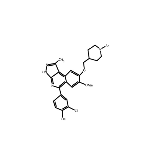 COc1cc2c(-c3ccc(O)c(Cl)c3)nc3[nH]nc(C)c3c2cc1OCC1CCN(C(C)=O)CC1